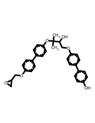 CC(C)(Oc1ccc(-c2ccc(OCC3CO3)cc2)cc1)C(O)COc1ccc(-c2ccc(O)cc2)cc1